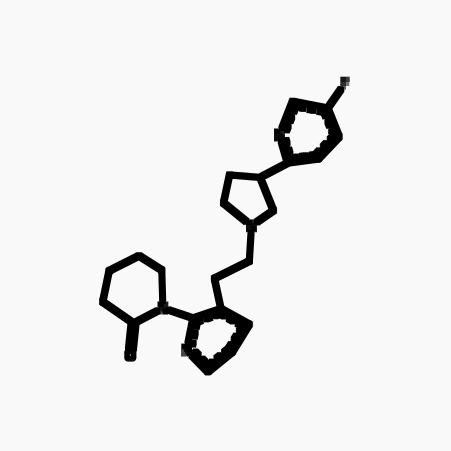 O=C1CCCCN1c1ncccc1CCN1CCC(c2ccc(F)cn2)C1